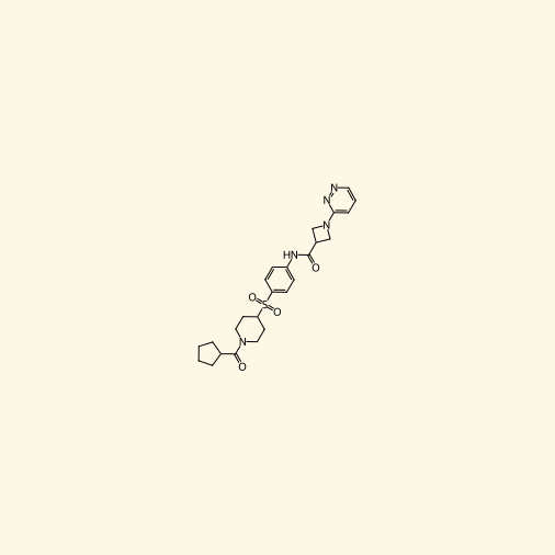 O=C(Nc1ccc(S(=O)(=O)C2CCN(C(=O)C3CCCC3)CC2)cc1)C1CN(c2cccnn2)C1